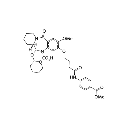 COC(=O)c1ccc(NC(=O)CCCOc2cc3c(cc2OC)C(=O)N2CCCC[C@H]2C(OC2CCCCO2)N3C(=O)O)cc1